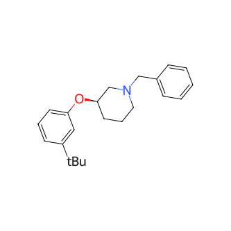 CC(C)(C)c1cccc(O[C@@H]2CCCN(Cc3ccccc3)C2)c1